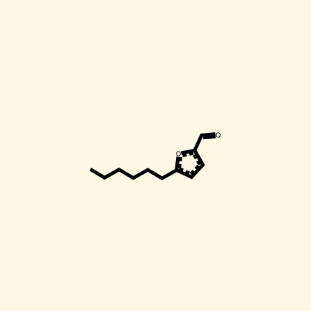 CCCCCCc1ccc(C=O)o1